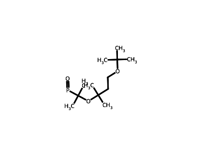 CC(C)(C)OCCC(C)(C)OC(C)(C)P=O